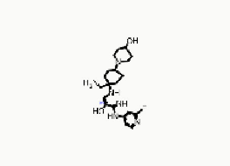 N=C(Nc1ccnc(F)c1)/C(O)=C\NC1(CN)CCC(N2CCC(O)CC2)CC1